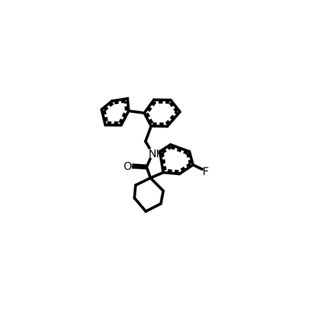 O=C(NCc1ccccc1-c1ccccc1)C1(c2cccc(F)c2)CCCCC1